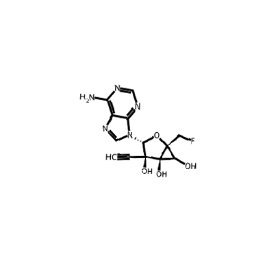 C#C[C@]1(O)[C@H](n2cnc3c(N)ncnc32)O[C@]2(CF)C(O)[C@@]21O